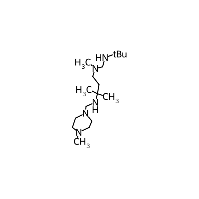 CN1CCN(CNC(C)(C)CCN(C)CNC(C)(C)C)CC1